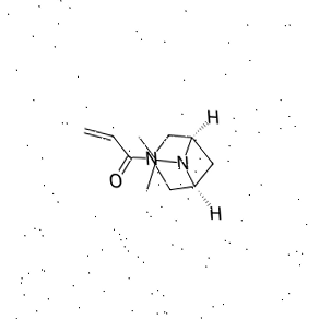 C=CC(=O)N1C[C@H]2C[C@@H](C1)N2C(C)C